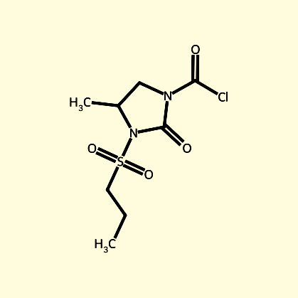 CCCS(=O)(=O)N1C(=O)N(C(=O)Cl)CC1C